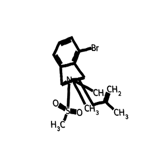 C=C(C)CC1C2c3c(Br)cccc3C(CC2(C)C)N1S(C)(=O)=O